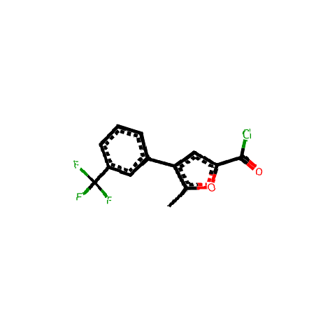 Cc1oc(C(=O)Cl)cc1-c1cccc(C(F)(F)F)c1